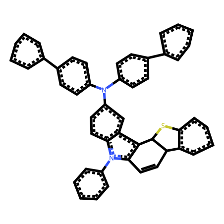 C1=CC2c3ccccc3SC2c2c1n(-c1ccccc1)c1ccc(N(c3ccc(-c4ccccc4)cc3)c3ccc(-c4ccccc4)cc3)cc21